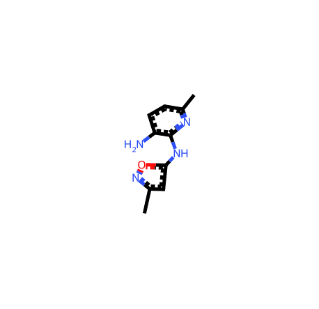 Cc1cc(Nc2nc(C)ccc2N)on1